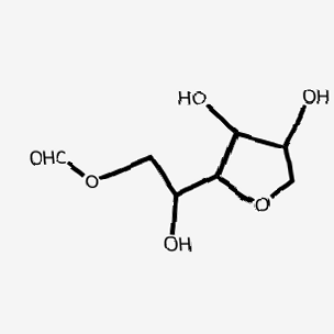 O=COCC(O)C1OCC(O)C1O